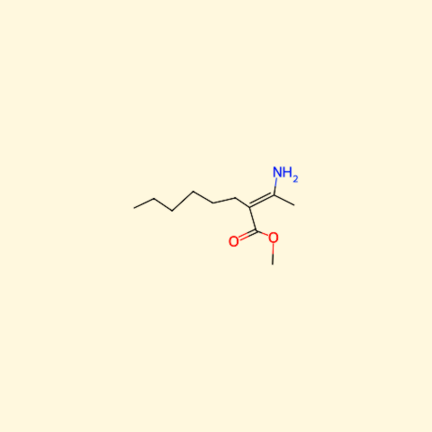 CCCCCCC(C(=O)OC)=C(C)N